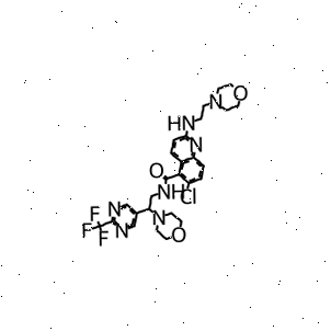 O=C(NCC(c1cnc(C(F)(F)F)nc1)N1CCOCC1)c1c(Cl)ccc2nc(NCCN3CCOCC3)ccc12